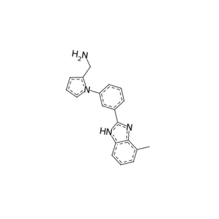 Cc1cccc2[nH]c(-c3cccc(-n4cccc4CN)c3)nc12